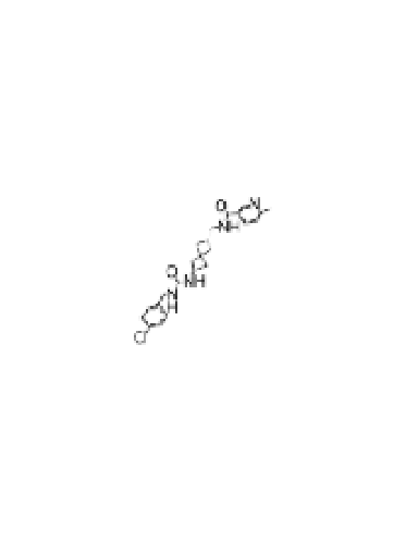 Cc1ccc(C(=O)NC[C@H]2CC3(C2)C[C@H](NC(=O)NCc2ccc(Cl)cc2)C3)cn1